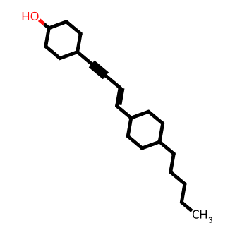 CCCCCC1CCC(C=CC#CC2CCC(O)CC2)CC1